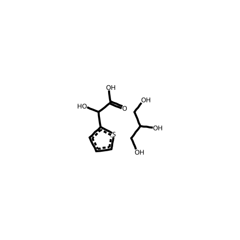 O=C(O)C(O)c1cccs1.OCC(O)CO